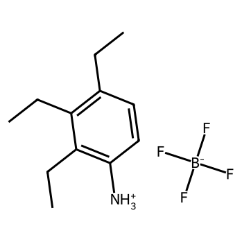 CCc1ccc([NH3+])c(CC)c1CC.F[B-](F)(F)F